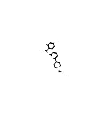 CC(C)(C)OC(=O)N1CCC(c2cccc(OC(c3ccc(C#N)cc3F)C(F)(F)F)n2)CC1